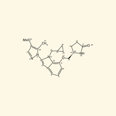 COc1cnn(-c2cc3cccc(OC[C@H]4CCC(=O)N4)c3n2CC2CC2)c1C